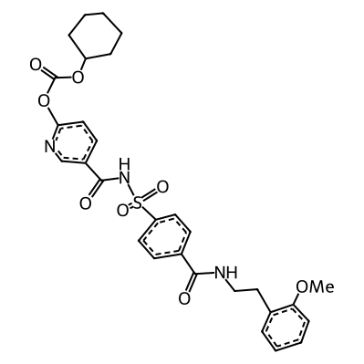 COc1ccccc1CCNC(=O)c1ccc(S(=O)(=O)NC(=O)c2ccc(OC(=O)OC3CCCCC3)nc2)cc1